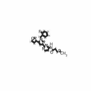 COCCC(=O)Nc1ccnc(-c2cc(-c3ccon3)n(Cc3ccccc3F)n2)n1